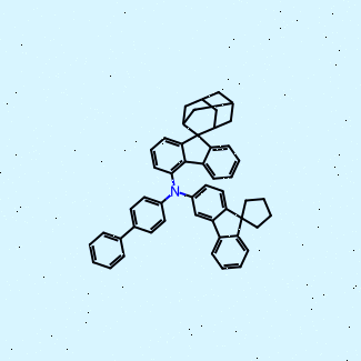 c1ccc(-c2ccc(N(c3ccc4c(c3)-c3ccccc3C43CCCC3)c3cccc4c3-c3ccccc3C43C4CC5CC(C4)CC3C5)cc2)cc1